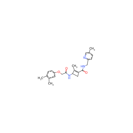 CC1=C(C(=O)NCc2ccc(C)cn2)CC1NC(=O)COc1ccc(C)c(C)c1